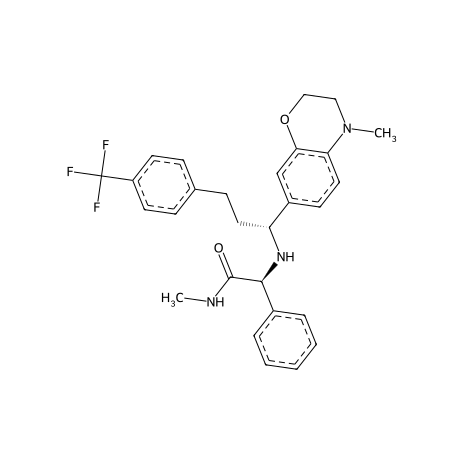 CNC(=O)[C@@H](N[C@H](CCc1ccc(C(F)(F)F)cc1)c1ccc2c(c1)OCCN2C)c1ccccc1